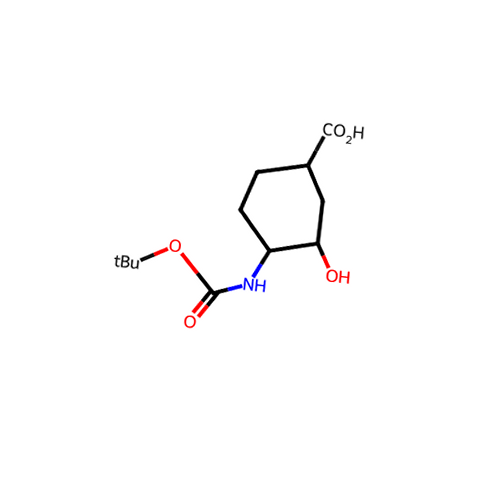 CC(C)(C)OC(=O)NC1CCC(C(=O)O)CC1O